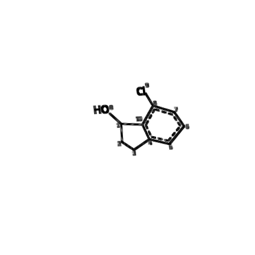 OC1CCc2cccc(Cl)c21